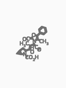 CC1=C(c2ccccc2)OC(=C=O)N1C(=C=O)[C@@H](C)[C@@H](O)C1CC2CC2N1C(=O)O